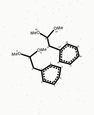 COC(Cc1ccccc1)OC.COC(Cc1ccccc1)OC